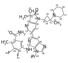 Cc1c(C(N)=O)cc(Nc2nc(-c3cnc4c(c3)N(C3CC(C)(N5CCCCC5)C3)C(=O)C4(C)C)cc3ncn(C(C)C)c23)c(F)c1F